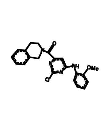 COc1ccccc1Nc1cc(C(=O)N2CCc3ccccc3C2)nc(Cl)n1